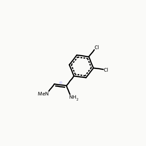 CN/C=C(\N)c1ccc(Cl)c(Cl)c1